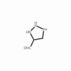 O=CC1CPNN1